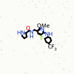 COc1nc(NC2CCC(C(F)(F)F)CC2)c(F)cc1CNC(=O)C1CCCN1